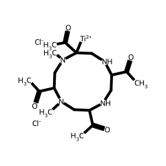 CC(=O)C1CNC(C(C)=O)CN(C)C(C(C)=O)CN(C)[C]([Ti+2])(C(C)=O)CN1.[Cl-].[Cl-]